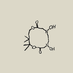 CC1(C)CCOC(=O)CN(O)CCN(O)CC(=O)OC1(C)C